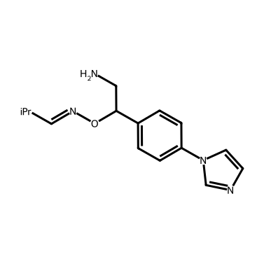 CC(C)C=NOC(CN)c1ccc(-n2ccnc2)cc1